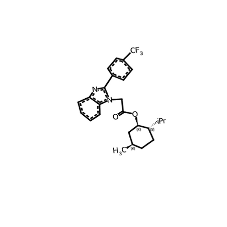 CC(C)[C@@H]1CC[C@@H](C)C[C@H]1OC(=O)Cn1c(-c2ccc(C(F)(F)F)cc2)nc2ccccc21